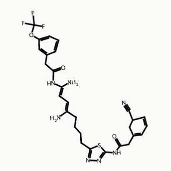 N#CC1C=CC=C(CC(=O)Nc2nnc(CCCC/C(N)=C/C=C(\N)NC(=O)Cc3cccc(OC(F)(F)F)c3)s2)C1